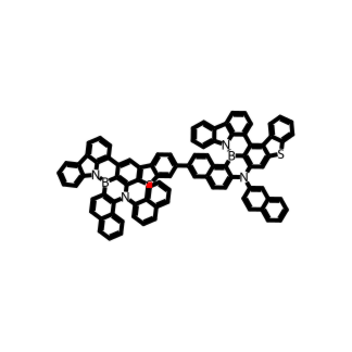 c1ccc2cc(N3c4cc5sc6ccccc6c5c5c4B(c4c3ccc3cc(-c6ccc7c(c6)sc6c8c9c(cc67)-c6cccc7c%10ccccc%10n(c67)B9c6ccc7ccccc7c6N8c6cccc7ccccc67)ccc43)n3c4ccccc4c4cccc-5c43)ccc2c1